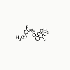 COc1ccc(F)c([C@H]2C[C@@H]2COc2cccc(C(C3CC3)C(C)C(=O)O)c2)c1